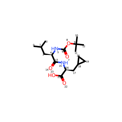 CC(C)C[C@@H](NC(=O)OC(C)(C)C)C(=O)N[C@@H](CC1CC1)C(=O)O